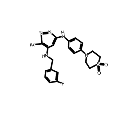 CC(=O)c1nnc(Nc2ccc(N3CCS(=O)(=O)CC3)cc2)cc1NCc1cccc(F)c1